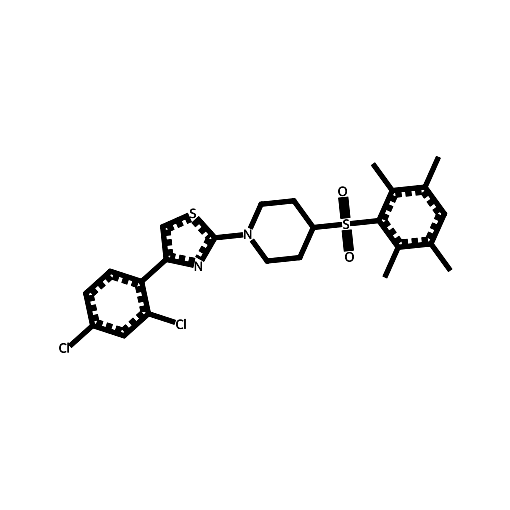 Cc1cc(C)c(C)c(S(=O)(=O)C2CCN(c3nc(-c4ccc(Cl)cc4Cl)cs3)CC2)c1C